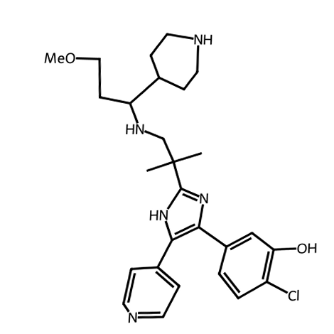 COCCC(NCC(C)(C)c1nc(-c2ccc(Cl)c(O)c2)c(-c2ccncc2)[nH]1)C1CCNCC1